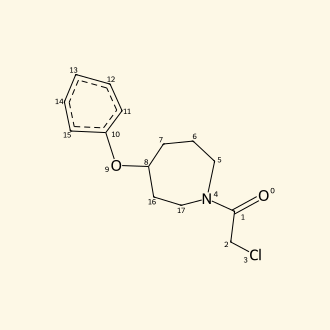 O=C(CCl)N1CCCC(Oc2ccccc2)CC1